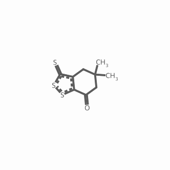 CC1(C)CC(=O)c2ssc(=S)c2C1